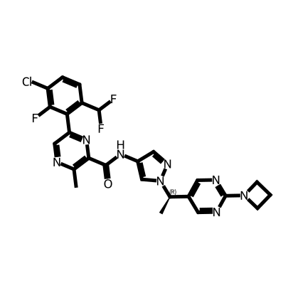 Cc1ncc(-c2c(C(F)F)ccc(Cl)c2F)nc1C(=O)Nc1cnn([C@H](C)c2cnc(N3CCC3)nc2)c1